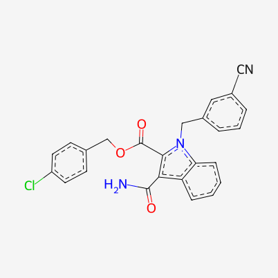 N#Cc1cccc(Cn2c(C(=O)OCc3ccc(Cl)cc3)c(C(N)=O)c3ccccc32)c1